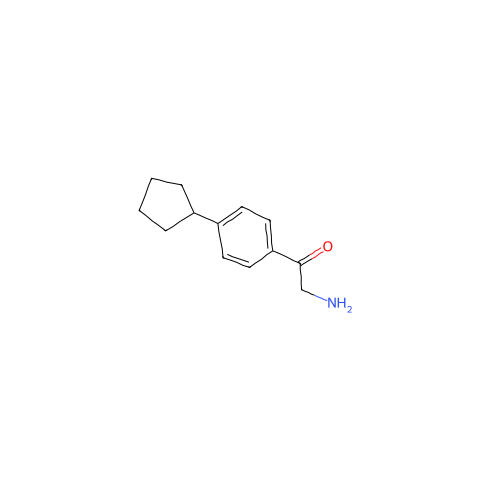 NCC(=O)c1ccc(C2CCCC2)cc1